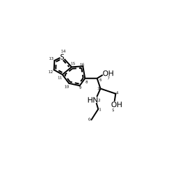 CCNC(CO)C(O)c1ccc2ccsc2c1